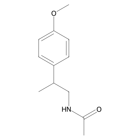 COc1ccc(C(C)CNC(C)=O)cc1